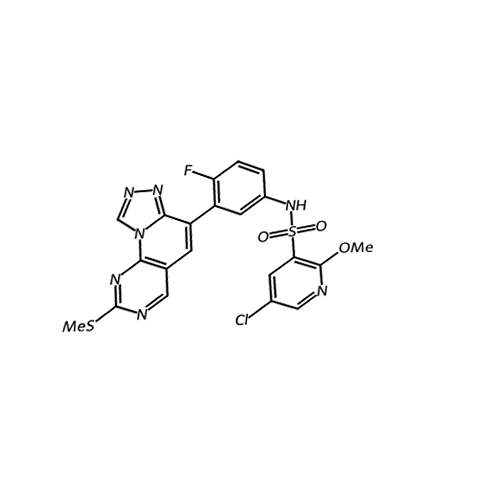 COc1ncc(Cl)cc1S(=O)(=O)Nc1ccc(F)c(-c2cc3cnc(SC)nc3n3cnnc23)c1